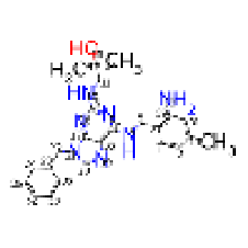 Cc1ccc(CNc2nc(NCC(C)(C)O)nc3c2ncn3Cc2ccccc2)c(N)c1